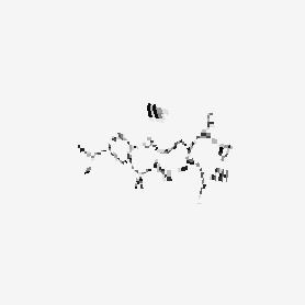 CC(C)c1ccc2oc3cc(C(=O)[O-])c(N(C)O)nc3c(=O)c2c1.[Na+]